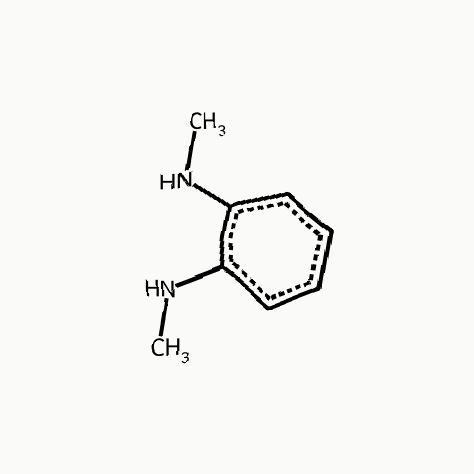 CNc1ccccc1NC